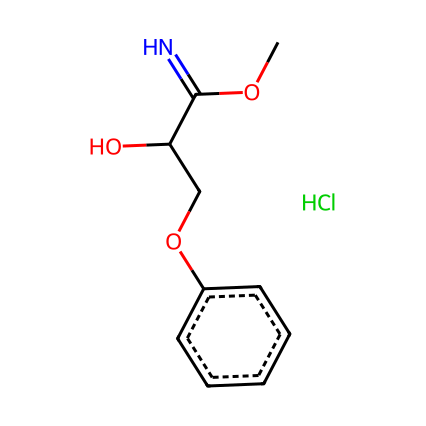 COC(=N)C(O)COc1ccccc1.Cl